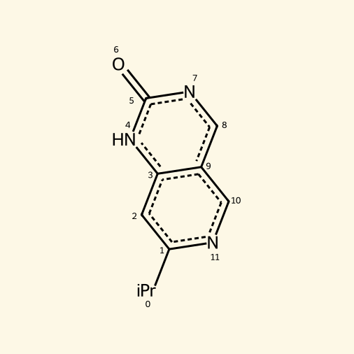 CC(C)c1cc2[nH]c(=O)ncc2cn1